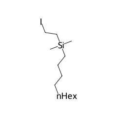 CCCCCCCCCC[Si](C)(C)CCI